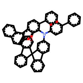 c1ccc(-c2ccc(N(c3ccc4c(c3)C3(c5ccccc5-c5ccccc53)c3ccccc3-4)c3c(-c4ccccc4)ccc4c3oc3ccc5ccccc5c34)cc2)cc1